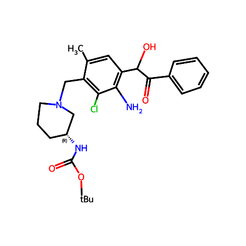 Cc1cc(C(O)C(=O)c2ccccc2)c(N)c(Cl)c1CN1CCC[C@@H](NC(=O)OC(C)(C)C)C1